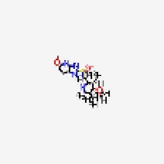 [2H]c1nc(C([2H])([2H])[S+]([O-])c2nc3nc(OC)ccc3[nH]2)c(C([2H])([2H])[2H])c(OC([2H])([2H])[2H])c1C([2H])([2H])[2H]